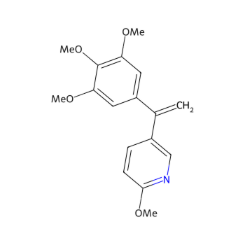 C=C(c1ccc(OC)nc1)c1cc(OC)c(OC)c(OC)c1